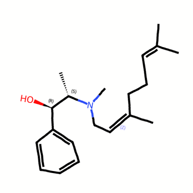 CC(C)=CCC/C(C)=C\CN(C)[C@@H](C)[C@H](O)c1ccccc1